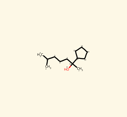 CC(C)CCCC(C)(O)C1CCCC1